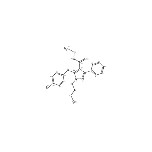 CCCCn1nc(-c2ccccc2)c(C(=O)OCC)c1Cc1ccc(Br)cc1